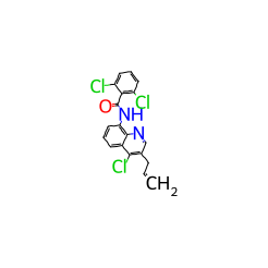 C=CCc1cnc2c(NC(=O)c3c(Cl)cccc3Cl)cccc2c1Cl